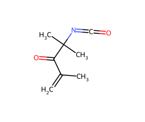 C=C(C)C(=O)C(C)(C)N=C=O